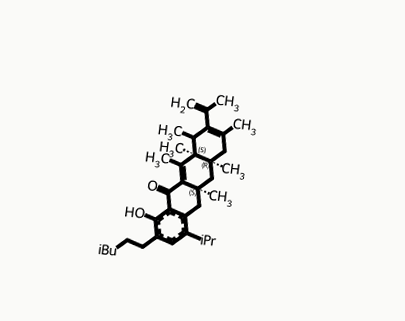 C=C(C)C1=C(C)C[C@@]2(C)C[C@@]3(C)Cc4c(C(C)C)cc(CCC(C)CC)c(O)c4C(=O)C3=C(C)[C@@]2(C)C1C